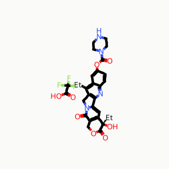 CCc1c2c(nc3ccc(OC(=O)N4CCNCC4)cc13)-c1cc3c(c(=O)n1C2)COC(=O)[C@]3(O)CC.O=C(O)C(F)(F)F